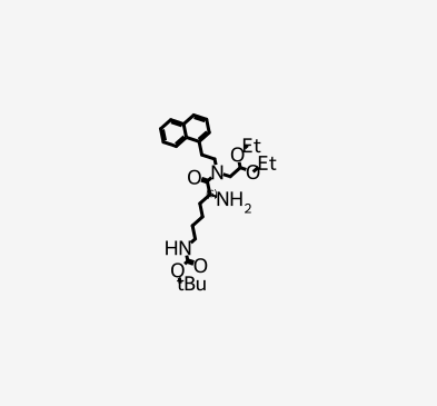 CCOC(CN(CCc1cccc2ccccc12)C(=O)[C@@H](N)CCCCNC(=O)OC(C)(C)C)OCC